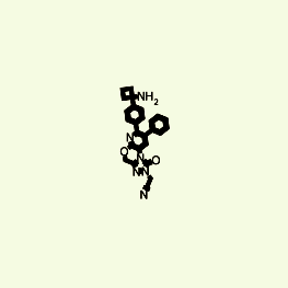 N#CCn1nc2n(c1=O)-c1cc(-c3ccccc3)c(-c3ccc(C4(N)CCC4)cc3)nc1OC2